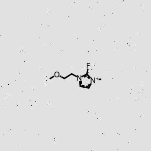 COCCn1cc[n+](C)c1F